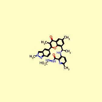 Cc1cc([C@@H](C)Nc2ccc(C)nc2C(=O)NNC(=O)O)c2oc(-c3ccc4nn(C)cc4c3)c(C)c(=O)c2c1